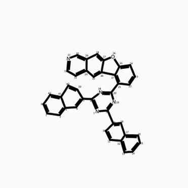 c1ccc2cc(-c3nc(-c4ccc5ccccc5c4)nc(-c4cccc5oc6cc7cnccc7cc6c45)n3)ccc2c1